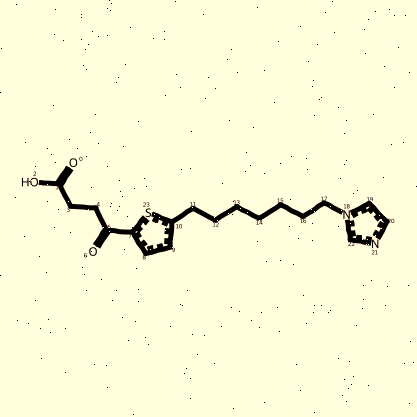 O=C(O)CCC(=O)c1ccc(CCCCCCCn2ccnc2)s1